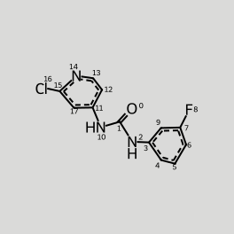 O=C(Nc1cccc(F)c1)Nc1ccnc(Cl)c1